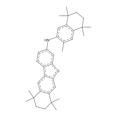 Cc1cc2c(cc1Nc1ccc3c(c1)oc1cc4c(cc13)C(C)(C)CCC4(C)C)C(C)(C)CCC2(C)C